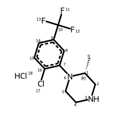 C[C@@H]1CNCCN1c1cc(C(F)(F)F)ccc1Cl.Cl